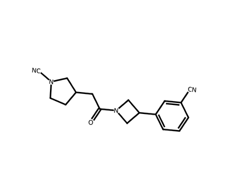 N#Cc1cccc(C2CN(C(=O)CC3CCN(C#N)C3)C2)c1